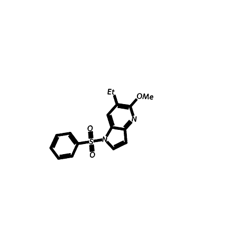 CCc1cc2c(ccn2S(=O)(=O)c2ccccc2)nc1OC